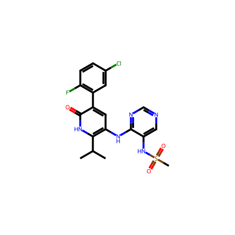 CC(C)c1[nH]c(=O)c(-c2cc(Cl)ccc2F)cc1Nc1ncncc1NS(C)(=O)=O